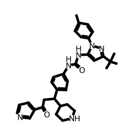 Cc1ccc(-n2nc(C(C)(C)C)cc2NC(=O)Nc2ccc(C(CC(=O)c3cccnc3)C3CCNCC3)cc2)cc1